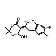 CC1(C)OC(=O)/C(=C(\O)Cc2cc(F)c(F)cc2F)C(O)O1